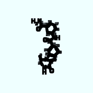 CC1CNC(=O)c2cc3ccc(C(=O)Nc4cccc(C(N)=O)c4)cc3n21